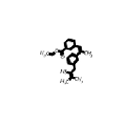 CCOC(=O)c1cccc(C=C(C)c2cccc(CC(S)=C(C)C)c2)c1